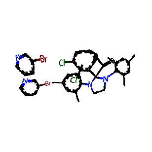 Brc1cccnc1.Brc1cccnc1.Cc1cc(C)c(N2CCN(c3c(C)cc(C)cc3C)C23[C](=[Ru])c2ccc(Cl)c(Cl)c23)c(C)c1